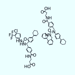 O=C(O)CCNC(=O)c1ccc(C(NC(=O)Nc2ccc(Cl)c(C(F)(F)F)c2)c2ccc(C3=CCCCC3)cc2)cc1.O=C(O)CCNC(=O)c1ccc(CN(C(=O)NCc2ccccc2-c2ccccc2)c2ccc(C3=CCCCC3)cc2)cc1